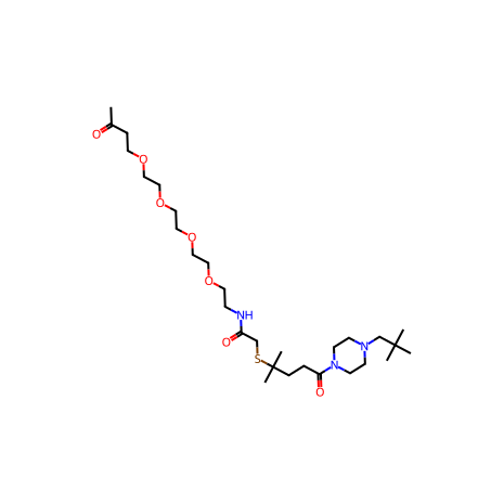 CC(=O)CCOCCOCCOCCOCCNC(=O)CSC(C)(C)CCC(=O)N1CCN(CC(C)(C)C)CC1